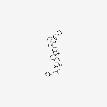 O=C(Nc1ccc2c(c1)CCCc1c-2[nH]c2ccc(NC(=O)[C@@H]3CCCN3C(=O)Cc3ccccc3)cc12)[C@@H]1CCCN1C(=O)Cc1ccccc1